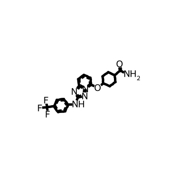 NC(=O)C1CCC(Oc2cccc3nc(Nc4ccc(C(F)(F)F)cc4)nn23)CC1